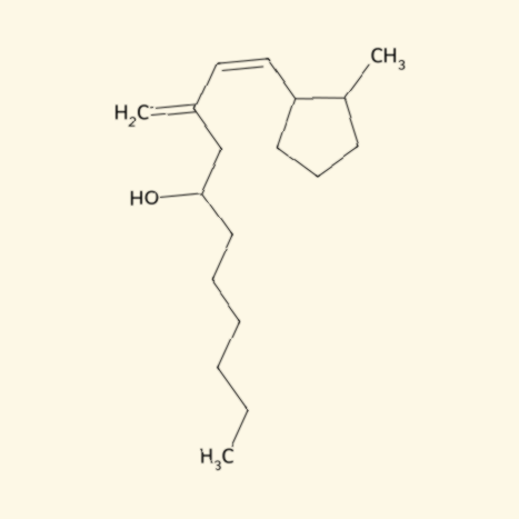 C=C(/C=C\C1CCCC1C)CC(O)CCCCCC